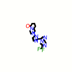 O=C1CCCC2CN(c3ccnc(-c4cnc5cnc(C(F)F)cn45)n3)CCN12